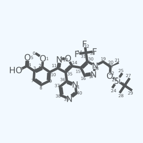 COc1c(C(=O)O)cccc1-c1noc(-c2cnn(C[C@@H](C)O[Si](C)(C)C(C)(C)C)c2C(F)(F)F)c1-c1ccncn1